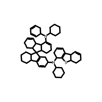 C1=CCC(N(C2=CCCC3C2C2C=CCCC2C32C3=C(C=CC(N(C4CCCCC4)C4CC=CC5=C4SC4CCC=CC54)C3)C3CCCCC32)C2CCCCC2)C=C1